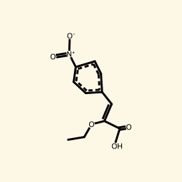 CCOC(=Cc1ccc([N+](=O)[O-])cc1)C(=O)O